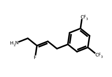 NCC(F)=CCc1cc(C(F)(F)F)cc(C(F)(F)F)c1